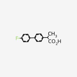 CC(C(=O)O)c1ccc(-c2ccc(F)cc2)cc1